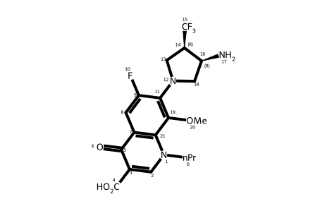 CCCn1cc(C(=O)O)c(=O)c2cc(F)c(N3C[C@@H](C(F)(F)F)[C@@H](N)C3)c(OC)c21